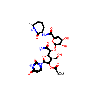 CCCCCCCCC(=O)O[C@@H]1[C@H](CO)[C@@H]([C@@H](O[C@H]2OC(C(=O)N[C@H]3CCC[C@@H](C)NC3=O)=C[C@H](O)[C@@H]2O)C(N)=O)O[C@H]1n1ccc(=O)[nH]c1=O